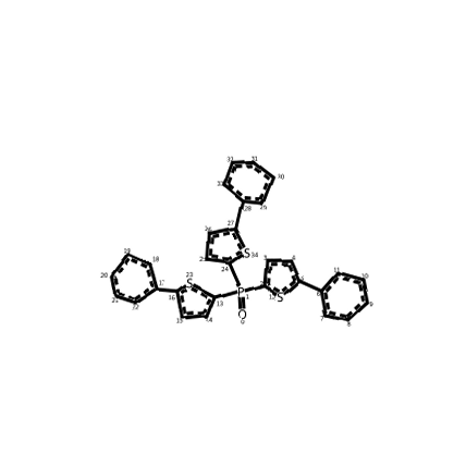 O=P(c1ccc(-c2ccccc2)s1)(c1ccc(-c2ccccc2)s1)c1ccc(-c2ccccc2)s1